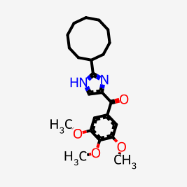 COc1cc(C(=O)c2c[nH]c(C3CCCCCCCCC3)n2)cc(OC)c1OC